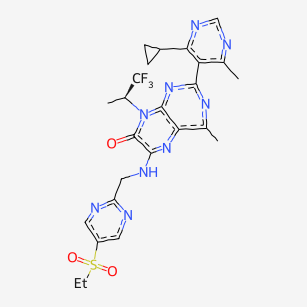 CCS(=O)(=O)c1cnc(CNc2nc3c(C)nc(-c4c(C)ncnc4C4CC4)nc3n([C@@H](C)C(F)(F)F)c2=O)nc1